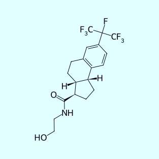 O=C(NCCO)[C@@H]1CC[C@H]2c3ccc(C(F)(C(F)(F)F)C(F)(F)F)cc3CC[C@@H]12